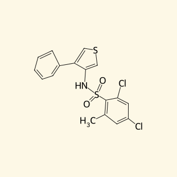 Cc1cc(Cl)cc(Cl)c1S(=O)(=O)Nc1cscc1-c1ccccc1